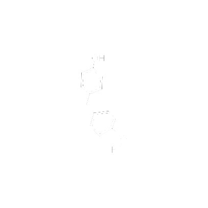 CCOc1ccc(Cc2ccc(O)cc2)cc1